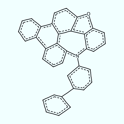 c1ccc(-c2cccc(-n3c4cccc5oc6ccc7c8ccccc8c8cccc3c8c7c6c54)c2)cc1